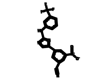 N#Cc1cc(-c2csc(Nc3cccc(C(F)(F)F)c3)n2)cc([N+](=O)[O-])c1